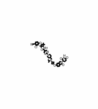 CC(C)N(CC1CCN(c2ncc(C(=O)NC3C(C)(C)C(Oc4ccc(C#N)c(Cl)c4)C3(C)C)cn2)CC1)C1CC(Oc2ccc3c(c2)CN([C@@H]2CCC(=O)NC2=O)C3=O)C1